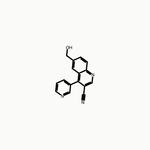 N#Cc1cnc2ccc(CO)cc2c1-c1cccnc1